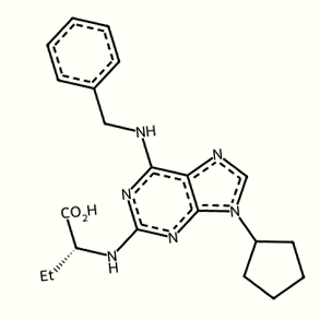 CC[C@@H](Nc1nc(NCc2ccccc2)c2ncn(C3CCCC3)c2n1)C(=O)O